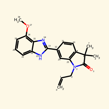 C=CCN1C(=O)C(C)(C)c2ccc(-c3nc4c(OC)cccc4[nH]3)cc21